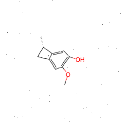 COc1cc2c(cc1O)[C@@H](C)C2